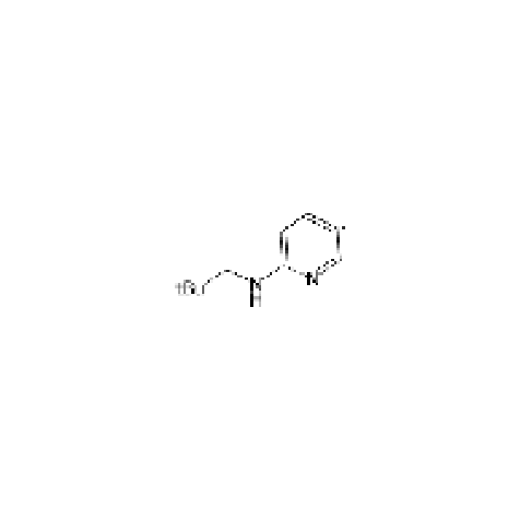 CC(C)(C)CNc1cc[c]cn1